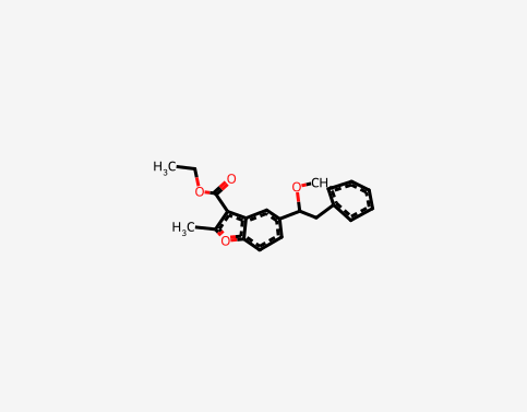 CCOC(=O)c1c(C)oc2ccc(C(Cc3ccccc3)OC)cc12